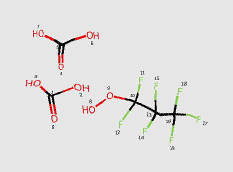 O=C(O)O.O=C(O)O.OOC(F)(F)C(F)(F)C(F)(F)F